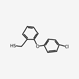 SCc1ccccc1Oc1ccc(Cl)cc1